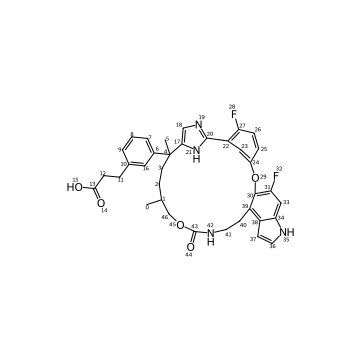 CC1CCC(C)(c2cccc(CCC(=O)O)c2)c2cnc([nH]2)-c2cc(ccc2F)Oc2c(F)cc3[nH]ccc3c2CCNC(=O)OC1